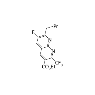 CCOC(=O)c1cc2cc(F)c(CC(C)C)nc2nc1C(F)(F)F